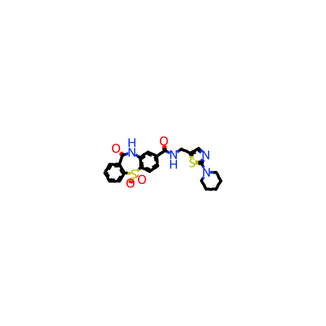 O=C(NCc1cnc(N2CCCCC2)s1)c1ccc2c(c1)NC(=O)c1ccccc1S2(=O)=O